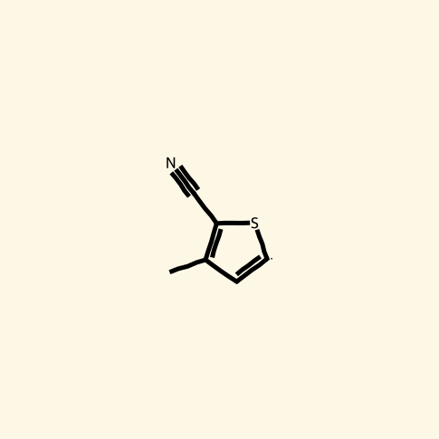 Cc1c[c]sc1C#N